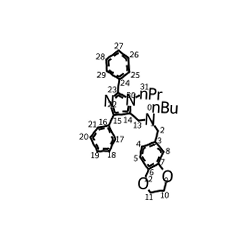 CCCCN(Cc1ccc2c(c1)OCCO2)Cc1c(-c2ccccc2)nc(-c2ccccc2)n1CCC